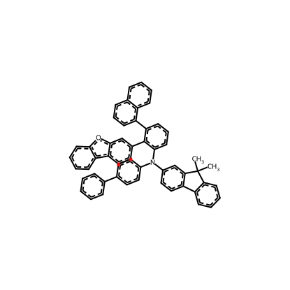 CC1(C)c2ccccc2-c2ccc(N(c3ccc(-c4ccccc4)cc3)c3cccc(-c4cccc5ccccc45)c3-c3ccc4c(c3)oc3ccccc34)cc21